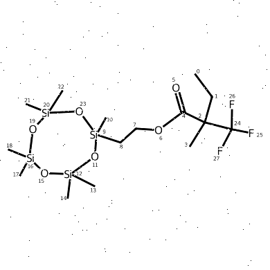 CCC(C)(C(=O)OCC[Si]1(C)O[Si](C)(C)O[Si](C)(C)O[Si](C)(C)O1)C(F)(F)F